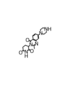 Cc1nc2cc(N3CCNCC3)ccc2c(=O)n1C1CCC(=O)NC1=O